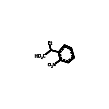 CCC(C(=O)O)c1ccccc1[N+](=O)[O-]